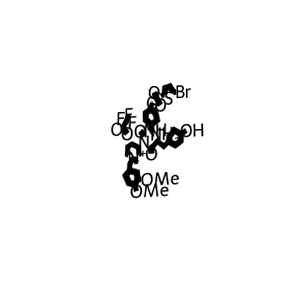 COc1ccc(C[N+]2(C)CCC[C@H](N(C(=O)Nc3ccc(OS(=O)(=O)c4ccc(Br)s4)cc3)C(=O)[C@@H](N)Cc3ccc(O)cc3)C2)cc1OC.O=C([O-])C(F)(F)F